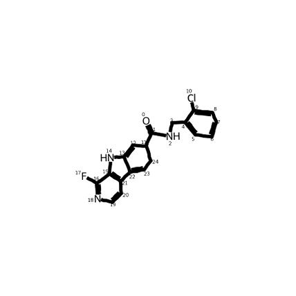 O=C(NCc1ccccc1Cl)C1C=c2[nH]c3c(F)nccc3c2=CC1